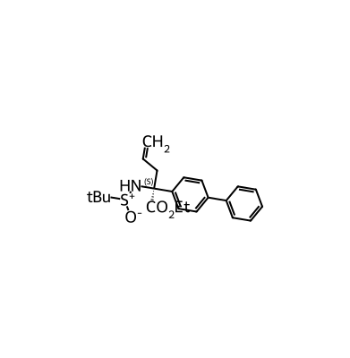 C=CC[C@@](N[S+]([O-])C(C)(C)C)(C(=O)OCC)c1ccc(-c2ccccc2)cc1